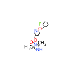 C[C@@H]1CNC[C@H](C)N1C(=O)OCc1ccc(OCc2ccccc2F)nc1